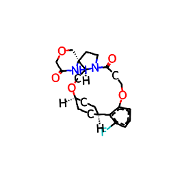 O=C1COC[C@@]2(CCN3C(=O)CCOc4cccc(F)c4[C@H]4CC[C@H](CC4)OC[C@H]32)N1